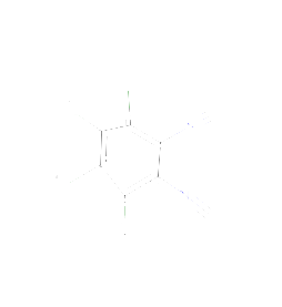 [C-]#[N+]c1c(Cl)c(Cl)c(Cl)c(Cl)c1[N+]#[C-]